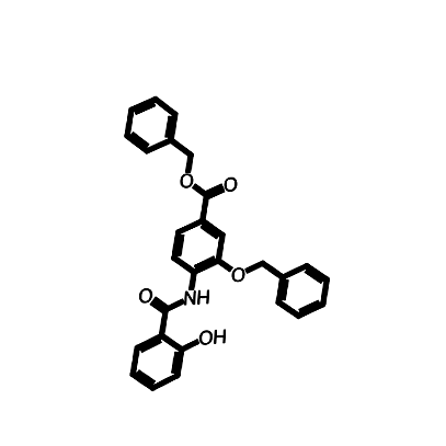 O=C(OCc1ccccc1)c1ccc(NC(=O)c2ccccc2O)c(OCc2ccccc2)c1